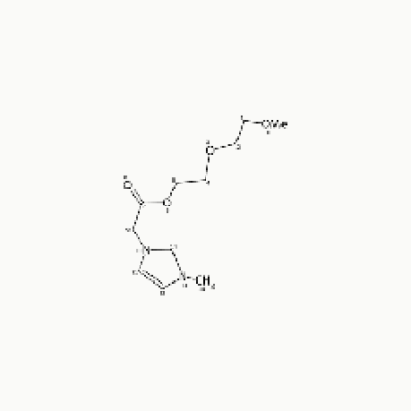 COCCOCCOC(=O)CN1C=CN(C)C1